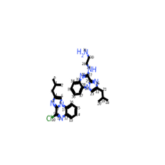 CC(C)Cc1cn2c(n1)c(Cl)nc1ccccc12.CC(C)Cc1cn2c(n1)c(NCCN)nc1ccccc12